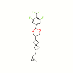 CCCC1CC2(C1)CC(C1COC(c3cc(F)c(C(F)F)c(F)c3)OC1)C2